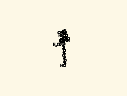 COc1ccc2c(Nc3c(Cl)cncc3Cl)cc(=O)[nH]c2c1OCCCOCCOCCOCCO